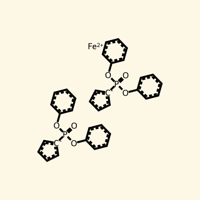 O=P(Oc1ccccc1)(Oc1ccccc1)[c-]1cccc1.O=P(Oc1ccccc1)(Oc1ccccc1)[c-]1cccc1.[Fe+2]